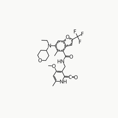 CCN(c1cc2oc(C(F)(F)F)cc2c(C(=O)NCC2=C(OC)C=C(C)NC2=C=O)c1C)C1CCOCC1